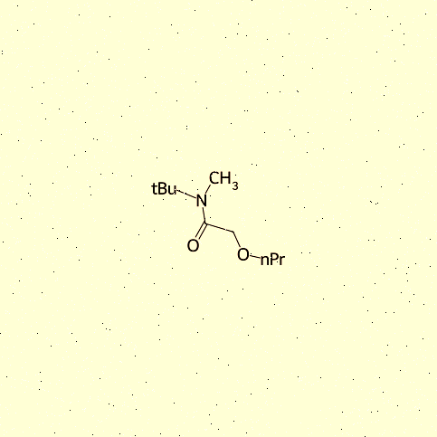 CCCOCC(=O)N(C)C(C)(C)C